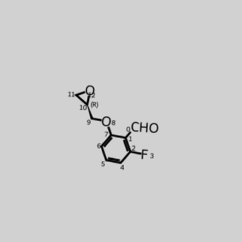 O=Cc1c(F)cccc1OC[C@H]1CO1